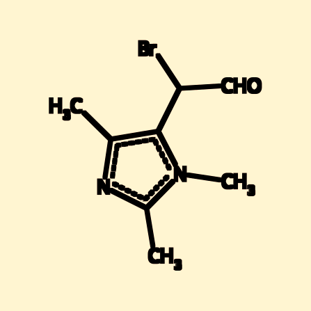 Cc1nc(C)n(C)c1C(Br)C=O